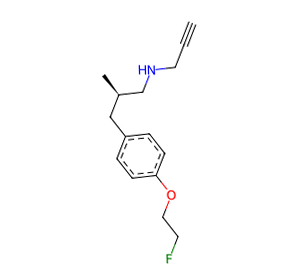 C#CCNC[C@H](C)Cc1ccc(OCCF)cc1